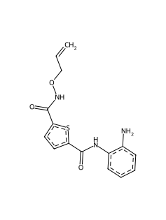 C=CCONC(=O)c1ccc(C(=O)Nc2ccccc2N)s1